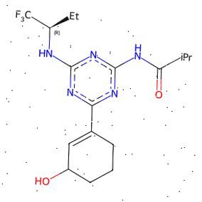 CC[C@@H](Nc1nc(NC(=O)C(C)C)nc(C2=CC(O)CCC2)n1)C(F)(F)F